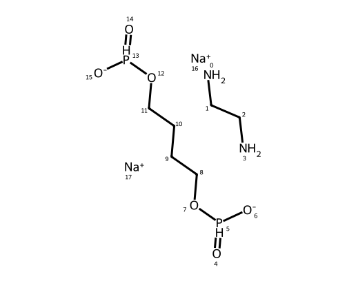 NCCN.O=[PH]([O-])OCCCCO[PH](=O)[O-].[Na+].[Na+]